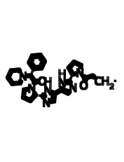 [CH2]CC(=O)N1CCC[C@H]1c1ncc(-c2cnc([C@@H]3CCCN3C(=O)[C@@H](c3ccccc3)N3CCCCC3)[nH]2)[nH]1